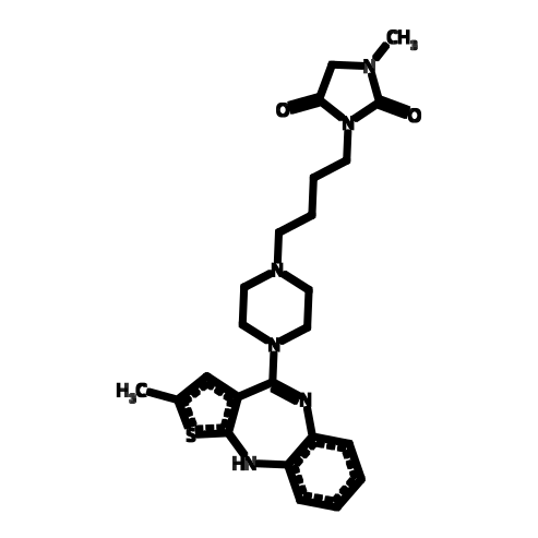 Cc1cc2c(s1)Nc1ccccc1N=C2N1CCN(CCCCN2C(=O)CN(C)C2=O)CC1